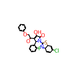 O=C(COc1ccccc1)C1=C(O)C(=O)N(C2=NC3C=CC(Cl)=CC3S2)C1c1ccccc1F